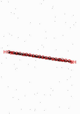 OCCOCCCOCCCOCCCOCCCOCCCOCCCOCCCOCCCOCCCOCCCOCCCOCCCOCCCOCCCOCCCOCCCOCCCOCCOCCO